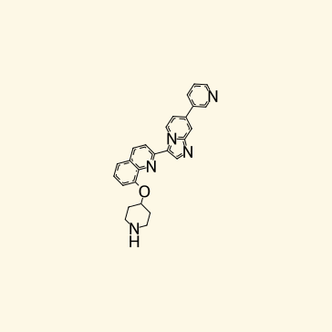 c1cncc(-c2ccn3c(-c4ccc5cccc(OC6CCNCC6)c5n4)cnc3c2)c1